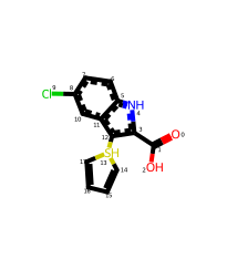 O=C(O)c1[nH]c2ccc(Cl)cc2c1[SH]1C=CC=C1